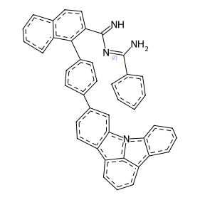 N=C(/N=C(\N)c1ccccc1)c1ccc2ccccc2c1-c1ccc(-c2ccc3c4cccc5c6ccccc6n(c3c2)c54)cc1